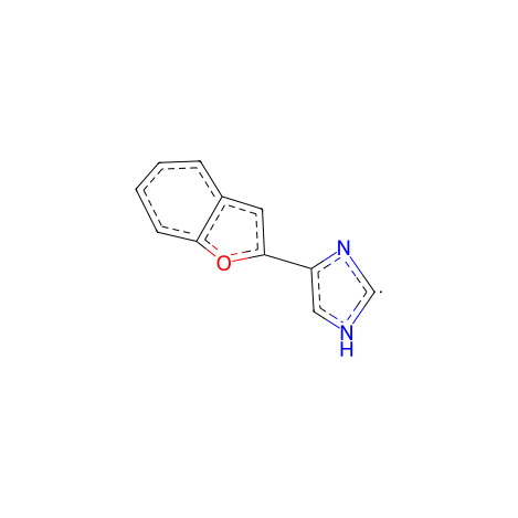 [c]1nc(-c2cc3ccccc3o2)c[nH]1